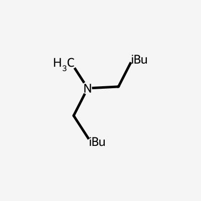 CCC(C)CN(C)CC(C)CC